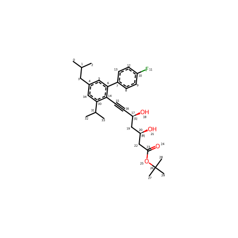 CC(C)Cc1cc(-c2ccc(F)cc2)c(C#C[C@@H](O)C[C@@H](O)CC(=O)OC(C)(C)C)c(C(C)C)c1